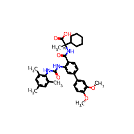 COc1ccc(-c2ccc(C(=O)N[C@](C)(C(=O)O)C3CCCCC3)c(NC(=O)Nc3c(C)cc(C)cc3C)c2)cc1OC